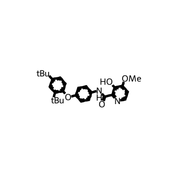 COc1ccnc(C(=O)Nc2ccc(Oc3ccc(C(C)(C)C)cc3C(C)(C)C)cc2)c1O